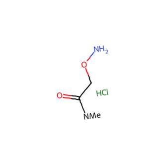 CNC(=O)CON.Cl